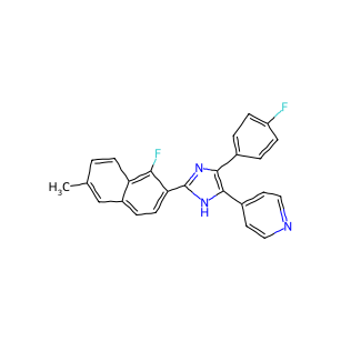 Cc1ccc2c(F)c(-c3nc(-c4ccc(F)cc4)c(-c4ccncc4)[nH]3)ccc2c1